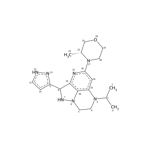 CC(C)N1CCN2NC(c3cc[nH]n3)c3nc(N4CCOC[C@H]4C)cc1c32